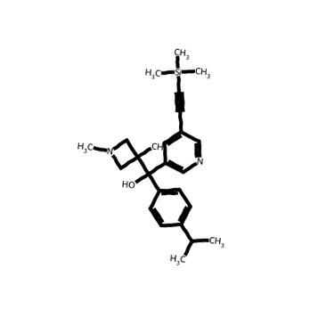 CC(C)c1ccc(C(O)(c2cncc(C#C[Si](C)(C)C)c2)C2(C)CN(C)C2)cc1